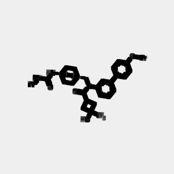 CC(C)NC(=O)N[C@]12CC[C@](CN(C(=O)C3CC(O)(C(F)(F)F)C3)c3cccc(-c4ccc(OC(C)C)cc4)c3)(CC1)CC2